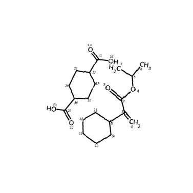 C=C(C(=O)OC(C)C)C1CCCCC1.O=C(O)C1CCC(C(=O)O)CC1